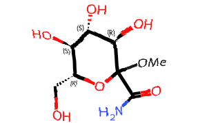 COC1(C(N)=O)O[C@H](CO)[C@@H](O)[C@H](O)[C@H]1O